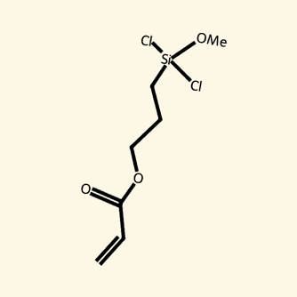 C=CC(=O)OCCC[Si](Cl)(Cl)OC